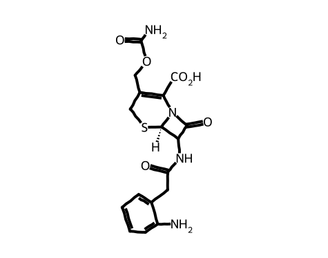 NC(=O)OCC1=C(C(=O)O)N2C(=O)C(NC(=O)Cc3ccccc3N)[C@H]2SC1